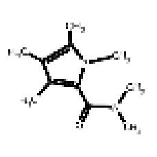 Cc1c(C)c(C(=O)N(C)C)p(C)c1C